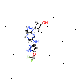 OC1CC(n2ncc3ncc(Nc4cc(OC(F)F)[nH]n4)nc32)C1